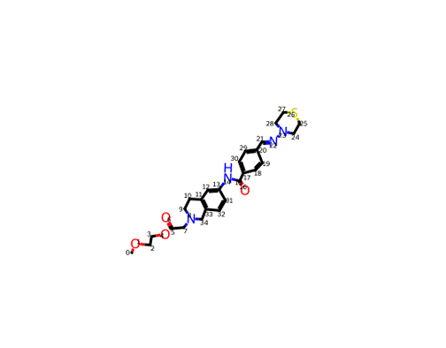 COCCOC(=O)CN1CCc2cc(NC(=O)c3ccc(C=NN4CCSCC4)cc3)ccc2C1